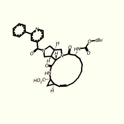 CC(C)(C)OC(=O)N[C@@H]1CCCCC/C=C\[C@H]2C[C@@]2(C(=O)O)NC(=O)[C@@H]2[C@H]3CN(C(=O)c4ccnc(-c5ccccc5)c4)C[C@H]3CN2C1=O